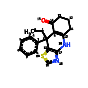 CCC1(c2ccccc2)C2=C(CCCC2=O)Nc2ncsc21